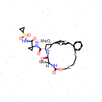 CO[C@@]12C[C@@H](C(=O)NC3(C(=O)NS(=O)(=O)C4CC4)CC3)N(C1)C(=O)[C@H](C(C)(C)C)NC(=O)OCCCCCc1ccccc1-c1ccc2cc1